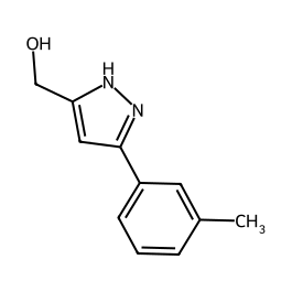 Cc1cccc(-c2cc(CO)[nH]n2)c1